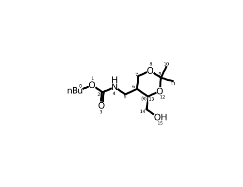 CCCCOC(=O)NCC1COC(C)(C)O[C@H]1CO